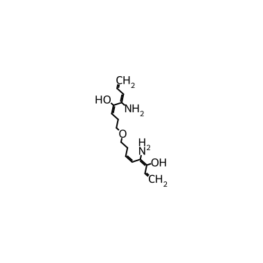 C=C/C=C(N)\C(O)=C/CCOCC/C=C\C(N)=C(\O)C=C